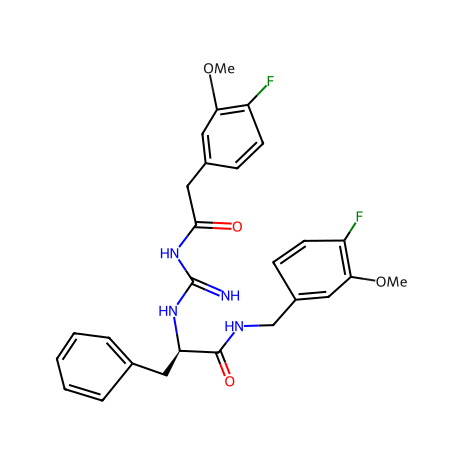 COc1cc(CNC(=O)[C@@H](Cc2ccccc2)NC(=N)NC(=O)Cc2ccc(F)c(OC)c2)ccc1F